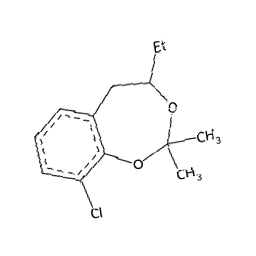 [CH2]CC1Cc2cccc(Cl)c2OC(C)(C)O1